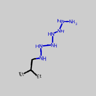 CCC(CC)CNNNNNNN